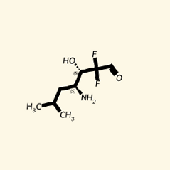 CC(C)C[C@H](N)[C@H](O)C(F)(F)[C]=O